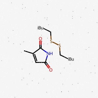 CC1=CC(=O)NC1=O.CCC(C)CSSCC(C)CC